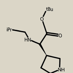 CC(C)CNC(C(=O)OC(C)(C)C)[C@@H]1CCNC1